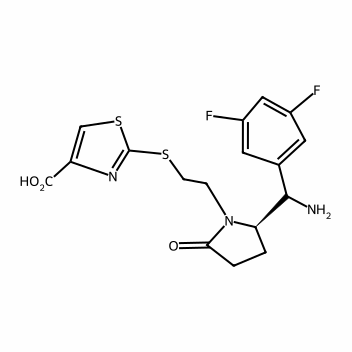 NC(c1cc(F)cc(F)c1)[C@H]1CCC(=O)N1CCSc1nc(C(=O)O)cs1